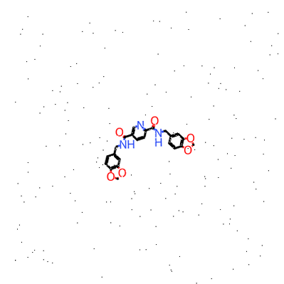 O=C(NCc1ccc2c(c1)OCO2)c1ccc(C(=O)NCc2ccc3c(c2)OCO3)nc1